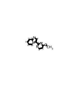 COc1ccnc(-c2cnc3ccccn23)n1